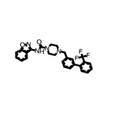 O=C(Nc1noc2ccccc12)N1CCN(Cc2cccc(-c3ccccc3C(F)(F)F)c2)CC1